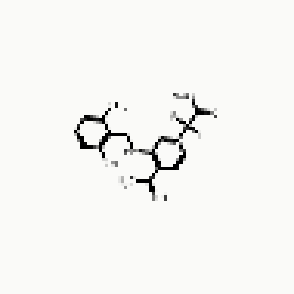 COC(=O)C(F)(F)c1ccc(C(C)=N)c(NCc2c(C)cccc2C#N)c1